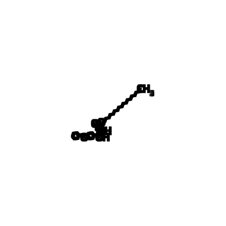 CCCCCCCCCCCCCCCCCCOc1c[nH]c(C(O)c2ccc(OCc3ccccc3)cc2)cc1=O